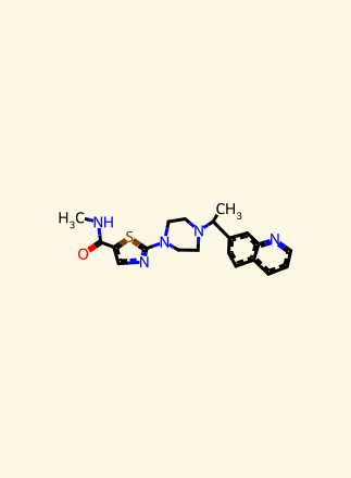 CNC(=O)c1cnc(N2CCN(C(C)c3ccc4cccnc4c3)CC2)s1